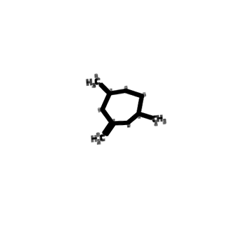 C=C1CC(C)CCC(C)C1